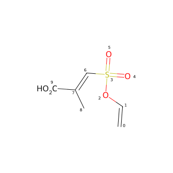 C=COS(=O)(=O)C=C(C)C(=O)O